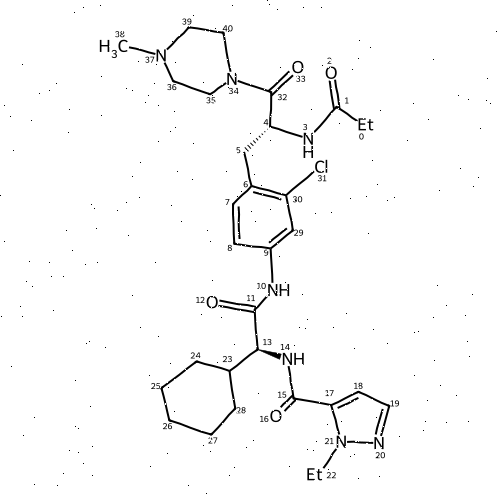 CCC(=O)N[C@H](Cc1ccc(NC(=O)[C@@H](NC(=O)c2ccnn2CC)C2CCCCC2)cc1Cl)C(=O)N1CCN(C)CC1